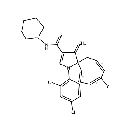 C=C1C(C(=S)NN2CCCCC2)=NN(c2ccc(Cl)cc2Cl)C12/C=C/C=C(Cl)\C=C/C2